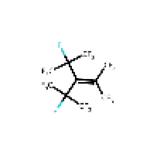 FC(F)(F)C(=C(C(F)(C(F)(F)F)C(F)(F)F)C(F)(C(F)(F)F)C(F)(F)F)C(F)(F)F